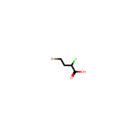 O=C(O)C(Cl)CCBr